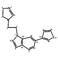 C1=NCCC1CCn1ncc2ccc(-c3ccsc3)cc21